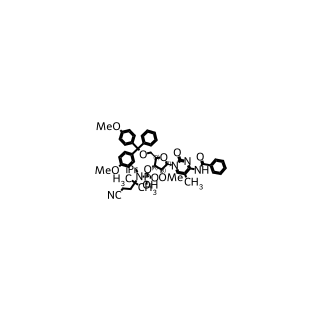 COc1ccc(C(OC[C@H]2O[C@@H](n3cc(C)c(NC(=O)c4ccccc4)nc3=O)[C@H](OC)[C@@H]2OP(=O)(O)N(C(C)C)C(C)(C)CCC#N)(c2ccccc2)c2ccc(OC)cc2)cc1